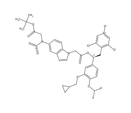 CC(C)(C)OC(=O)CN(c1ccc2c(ccn2CC(=O)O[C@@H](Cc2c(Cl)c[n+]([O-])cc2Cl)c2ccc(OC(F)F)c(OCC3CC3)c2)c1)[SH](=O)=O